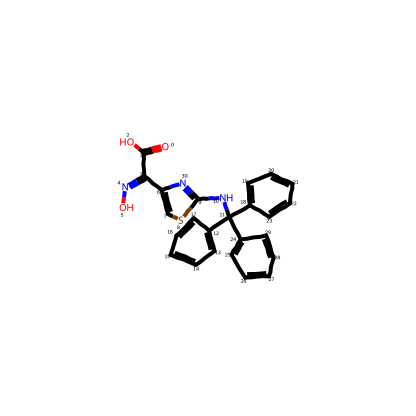 O=C(O)/C(=N/O)c1csc(NC(c2ccccc2)(c2ccccc2)c2ccccc2)n1